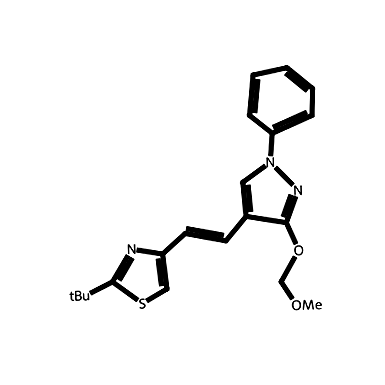 COCOc1nn(-c2ccccc2)cc1C=Cc1csc(C(C)(C)C)n1